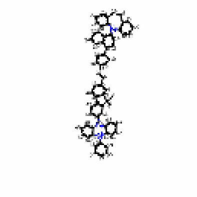 CC1(C)c2cc(/C=C/c3ccc(-c4ccc(N5c6ccccc6CCc6ccccc65)c5ccccc45)cc3)ccc2-c2ccc(N3c4ccccc4N(c4ccccc4)c4ccccc43)cc21